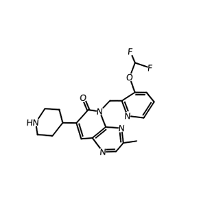 Cc1cnc2cc(C3CCNCC3)c(=O)n(Cc3ncccc3OC(F)F)c2n1